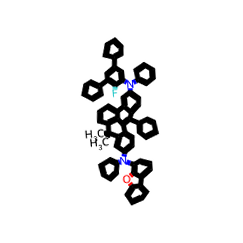 CC1(C)c2cc(N(c3ccccc3)c3cccc4c3oc3ccccc34)ccc2-c2c(-c3ccccc3)c3ccc(N(c4ccccc4)c4cc(-c5ccccc5)cc(-c5ccccc5)c4F)cc3c3cccc1c23